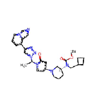 CC(n1cc(-c2cccn3cncc23)nn1)n1ccc(N2CCC[C@@H](N(CC3CCC3)C(=O)OC(C)(C)C)C2)cc1=O